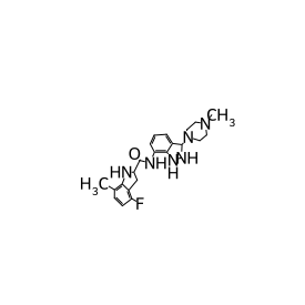 Cc1ccc(F)c2c1NC(C(=O)Nc1cccc3c1NNC3N1CCN(C)CC1)C2